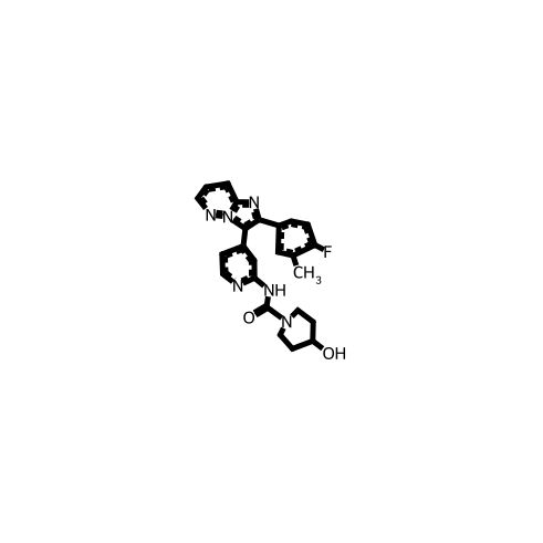 Cc1cc(-c2nc3cccnn3c2-c2ccnc(NC(=O)N3CCC(O)CC3)c2)ccc1F